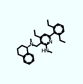 CCc1cc(-c2c(CC)cccc2CC)nc(NC)c1CN(C)[C@@H]1CCCc2ccccc21